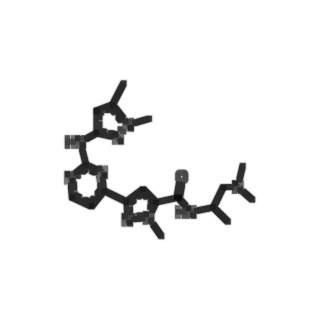 Cc1cc(Nc2nccc(-c3cc(C(=O)NC(C)CN(C)C)n(C)n3)n2)nn1C